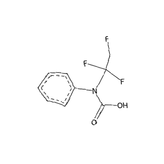 O=C(O)N(c1ccccc1)C(F)(F)CF